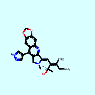 CC[C@](C)(O)C(/C=C1/c2nc3cc4c(cc3c(-c3cn[nH]c3)c2CN1C)OCO4)=C(/C=O)COC